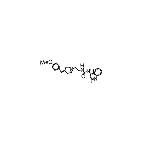 COc1ccc(C=C2CCN(CCNC(=O)Nc3cc(C)nc4ccccc34)CC2)cc1